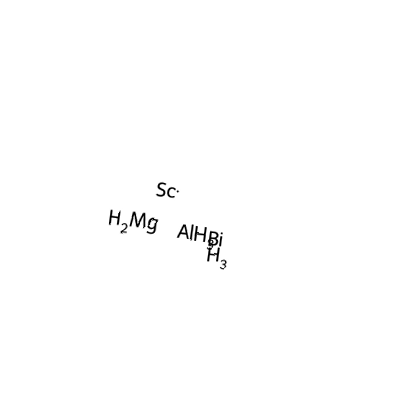 [AlH3].[BiH3].[MgH2].[Sc]